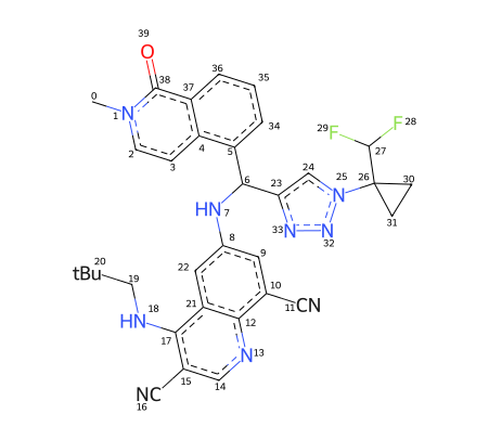 Cn1ccc2c(C(Nc3cc(C#N)c4ncc(C#N)c(NCC(C)(C)C)c4c3)c3cn(C4(C(F)F)CC4)nn3)cccc2c1=O